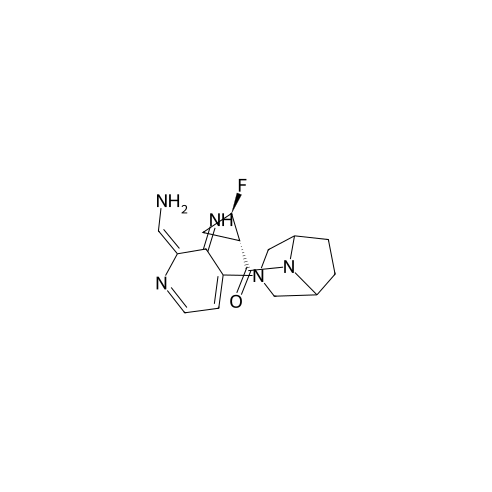 N=C1C(N2CC3CCC(C2)N3C(=O)[C@@H]2C[C@H]2F)=CC=N/C1=C/N